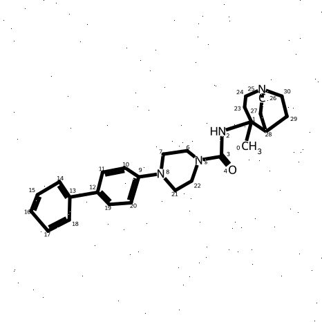 CC1(NC(=O)N2CCN(c3ccc(-c4ccccc4)cc3)CC2)CCN2CCC1CC2